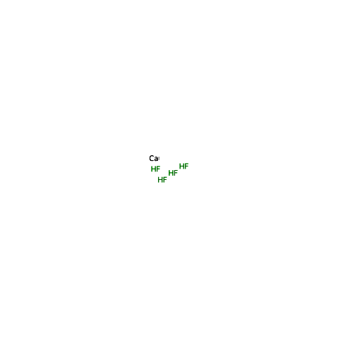 F.F.F.F.[Ca]